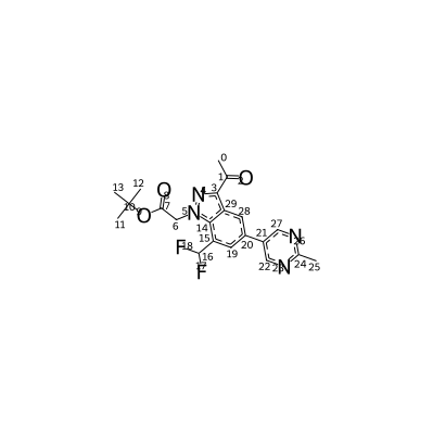 CC(=O)c1nn(CC(=O)OC(C)(C)C)c2c(C(F)F)cc(-c3cnc(C)nc3)cc12